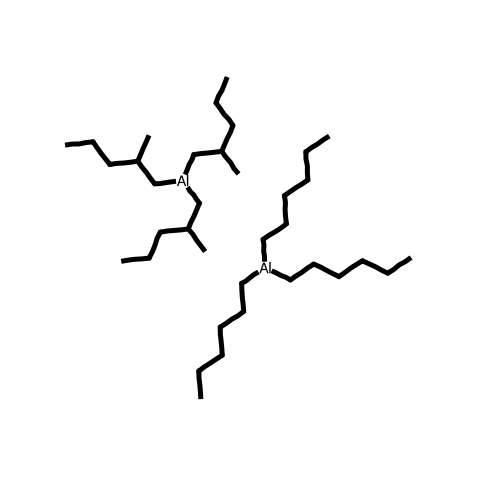 CCCC(C)[CH2][Al]([CH2]C(C)CCC)[CH2]C(C)CCC.CCCCC[CH2][Al]([CH2]CCCCC)[CH2]CCCCC